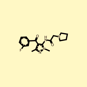 Cc1nn(C)c(NC(=O)CN2CCCC2)c1C(=O)c1cccc(F)c1